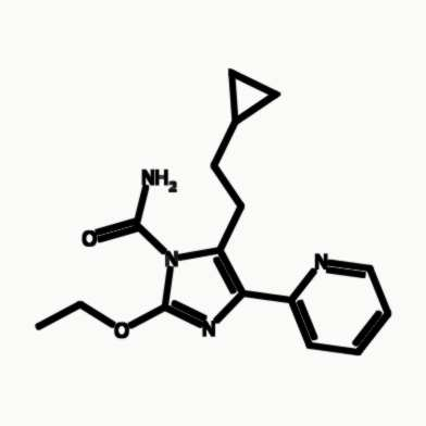 CCOc1nc(-c2ccccn2)c(CCC2CC2)n1C(N)=O